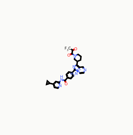 N[N+]12C=CN=CC1=C(C1CCCN(C(=O)C(=O)C(F)(F)F)C1)N=C2c1ccc(C(=O)Nc2cc(C3CC3)ccn2)cc1